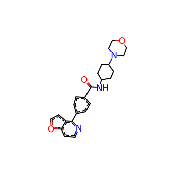 O=C(NC1CCC(N2CCOCC2)CC1)c1ccc(-c2nccc3occc23)cc1